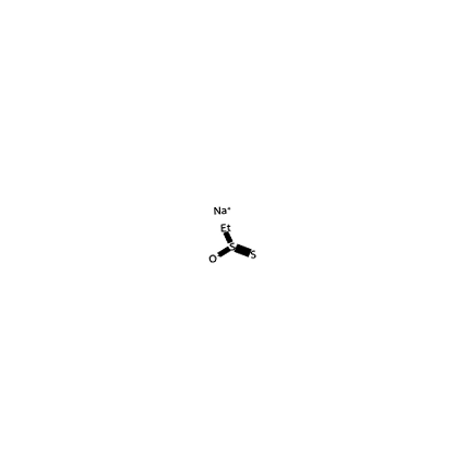 CCS([O-])=S.[Na+]